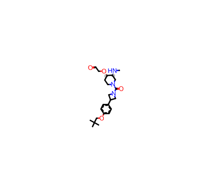 CN[C@@H]1CN(C(=O)N2CC(c3ccc(OCC(C)(C)C)cc3)C2)CC[C@@H]1OCC=O